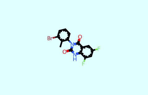 Cc1c(Br)cccc1-n1c(=O)[nH]c2c(F)cc(F)cc2c1=O